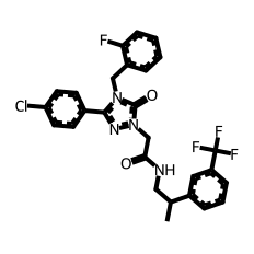 CC(CNC(=O)Cn1nc(-c2ccc(Cl)cc2)n(Cc2ccccc2F)c1=O)c1cccc(C(F)(F)F)c1